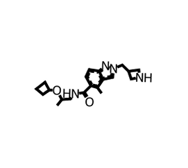 Cc1c(C(=O)NCC(C)OC2CCC2)ccc2nn(CC3CNC3)cc12